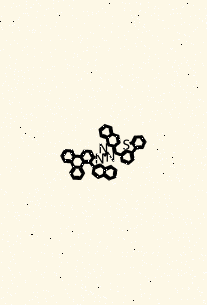 c1ccc2c(c1)ccc1c(-c3cccc4c3sc3ccccc34)nc(-n3c4ccc5c6ccccc6c6ccccc6c5c4c4ccc5ccccc5c43)nc12